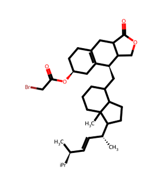 CC(C)[C@@H](C)/C=C/[C@@H](C)C1CCC2C(C[C@H]3C4=C(CC[C@H](OC(=O)CBr)C4)CC4C(=O)OCC43)CCCC21C